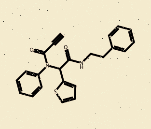 C#CC(=O)N(c1ccccc1)C(C(=O)NCCc1ccccc1)c1cccs1